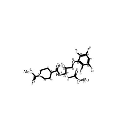 COC(=O)N1CCC(C(=O)N[C@@H](CC(=O)OC(C)(C)C)C(O)COc2c(F)c(F)cc(F)c2F)CC1